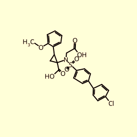 COc1ccccc1C1CC1(C(=O)O)N(CC(=O)O)S(=O)(=O)c1ccc(-c2ccc(Cl)cc2)cc1